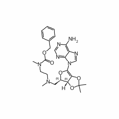 CN(CCN(C)C(=O)OCc1ccccc1)C[C@H]1OC(n2cnc3c(N)ncnc32)=C2OC(C)(C)O[C@@H]21